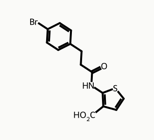 O=C(CCc1ccc(Br)cc1)Nc1sccc1C(=O)O